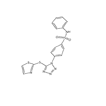 O=S(=O)(Nc1ccccc1)c1ccc(-n2nnnc2Sc2nccs2)cc1